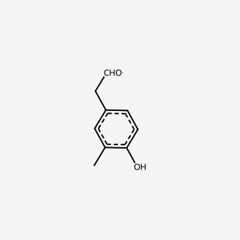 Cc1cc(C[C]=O)ccc1O